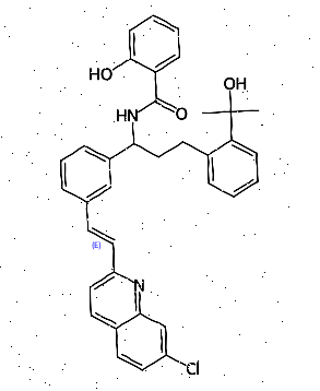 CC(C)(O)c1ccccc1CCC(NC(=O)c1ccccc1O)c1cccc(/C=C/c2ccc3ccc(Cl)cc3n2)c1